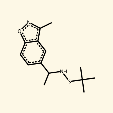 Cc1noc2ccc(C(C)NSC(C)(C)C)cc12